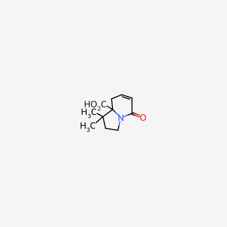 CC1(C)CCN2C(=O)C=CCC21C(=O)O